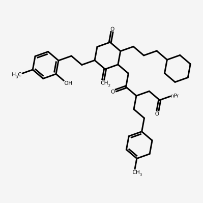 C=C1C(CCc2ccc(C)cc2O)CC(=O)C(CCCC2CCCCC2)C1CC(=O)C(CCC1=CC=C(C)CC1)CC(=O)CCC